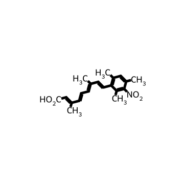 CC(C=Cc1c(C)cc(C)c([N+](=O)[O-])c1C)=CC=CC(C)=CC(=O)O